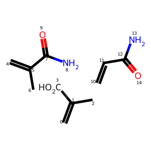 C=C(C)C(=O)O.C=C(C)C(N)=O.C=CC(N)=O